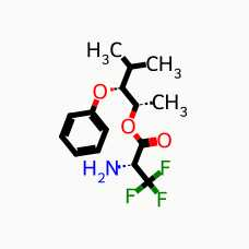 CC(C)[C@@H](Oc1ccccc1)[C@H](C)OC(=O)[C@@H](N)C(F)(F)F